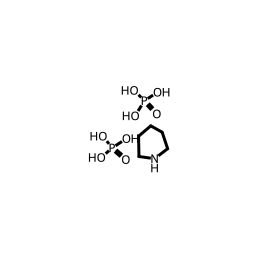 C1CCNCC1.O=P(O)(O)O.O=P(O)(O)O